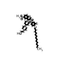 CCCCCCCCCCCCCCOc1ccc(S(=O)(=O)c2cnc3ccc([S+](C)[O-])cc3c2N2CCC(N3CCN(CCO)CC3)CC2)cc1F